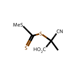 CSC(=S)SC(C)(C#N)C(=O)O